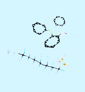 CCCCOc1ccccc1[S+](c1ccccc1)c1ccccc1.O=S(=O)([O-])C(F)(F)C(F)(F)C(F)(F)C(F)(F)C(F)(F)C(F)(F)C(F)(F)C(F)(F)F